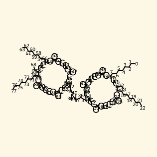 CCCCCCCCC1CCC(CC)C(CCCCCCCC)OC(=O)OCCOC(=O)CCN(CCCN(C)CCCN2CCC(=O)OCCOC(=O)OC(CCCCCCCC)CCC(CC)C(CCCCCCCC)OC(=O)OCCOC(=O)CC2)CCC(=O)OCCOC(=O)O1